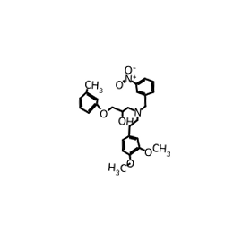 COc1ccc(CCN(Cc2cccc([N+](=O)[O-])c2)CC(O)COc2cccc(C)c2)cc1OC